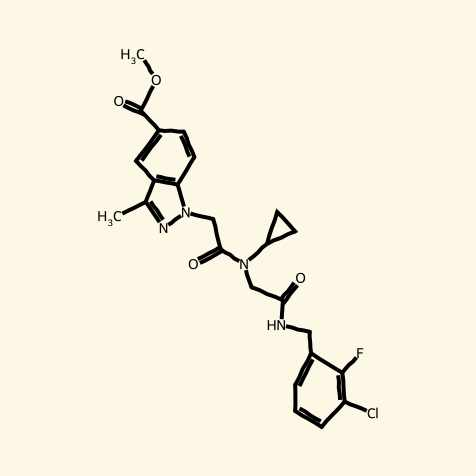 COC(=O)c1ccc2c(c1)c(C)nn2CC(=O)N(CC(=O)NCc1cccc(Cl)c1F)C1CC1